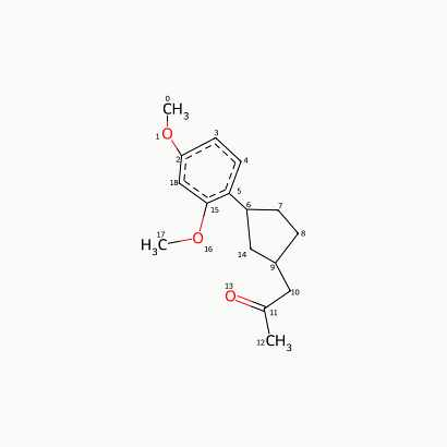 COc1ccc(C2CCC(CC(C)=O)C2)c(OC)c1